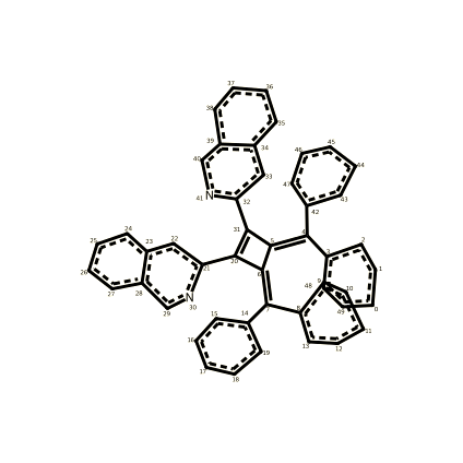 c1ccc(C(=C2C(=C(c3ccccc3)c3ccccc3)C(c3cc4ccccc4cn3)=C2c2cc3ccccc3cn2)c2ccccc2)cc1